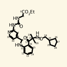 CCOC(=O)CNC(=O)Nc1cc(CNc2ccccc2C(=O)C(C)(C)NOCC2CCCC2)ccn1